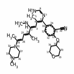 CNC(=C\C(C)=C(\N=C/N)c1ccc(OC2CCOCC2)c(C#N)c1)/C(C)=C/C=C(\C)N1CCN(C)CC1